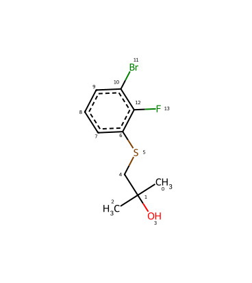 CC(C)(O)CSc1cccc(Br)c1F